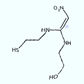 O=[N+]([O-])/C=C(/NCCO)NCCS